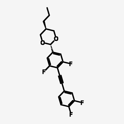 CCC[C@H]1CO[C@H](c2cc(F)c(C#Cc3ccc(F)c(F)c3)c(F)c2)OC1